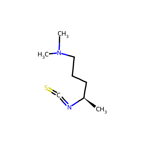 C[C@H](CCCN(C)C)N=C=S